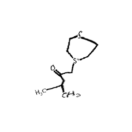 CC(C)C(=O)C[S+]1CCSCC1